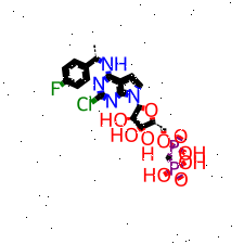 C[C@H](Nc1nc(Cl)nc2c1ccn2[C@@H]1O[C@H](COP(=O)(O)CP(=O)(O)O)C(O)(O)[C@H]1O)c1ccc(F)cc1